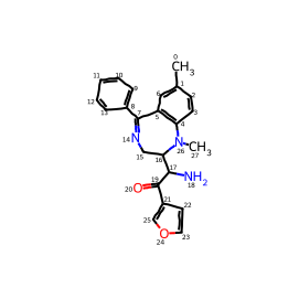 Cc1ccc2c(c1)C(c1ccccc1)=NCC(C(N)C(=O)c1ccoc1)N2C